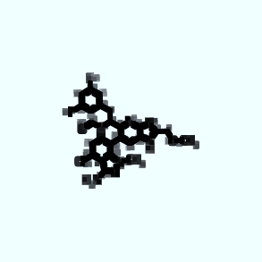 COCc1nc2nc(C(Cc3cc(F)cc(F)c3)NC=O)c(-c3ccc(Cl)c4c(N)nn(C)c34)cc2[nH]1